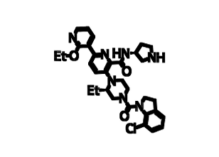 CCOc1ncccc1-c1ccc(N2CCN(C(=O)N3CCc4cccc(Cl)c43)C[C@H]2CC)c(C(=O)N[C@@H]2CCNC2)n1